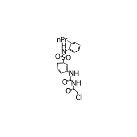 CCCc1ccccc1NS(=O)(=O)c1cccc(NC(=O)NC(=O)CCl)c1